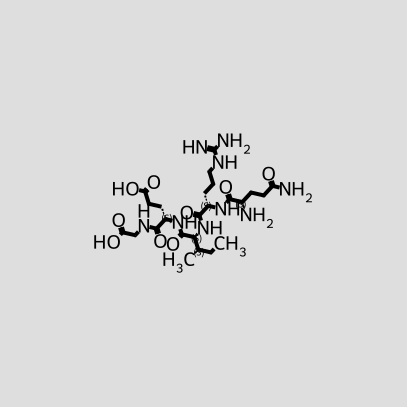 CC[C@H](C)[C@H](NC(=O)[C@H](CCCNC(=N)N)NC(=O)[C@@H](N)CCC(N)=O)C(=O)N[C@@H](CCC(=O)O)C(=O)NCC(=O)O